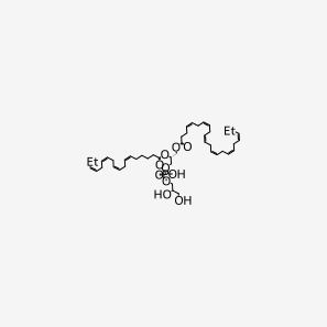 CC/C=C\C/C=C\C/C=C\C/C=C\C/C=C\C/C=C\CCC(=O)OC[C@H](COP(=O)(O)OC[C@@H](O)CO)OC(=O)CCCC/C=C\C/C=C\C/C=C\C/C=C\CC